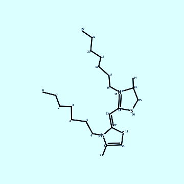 CCCCCCCN1C(C)=CS/C1=C\C1=[N+](CCCCCCC)C(C)CS1